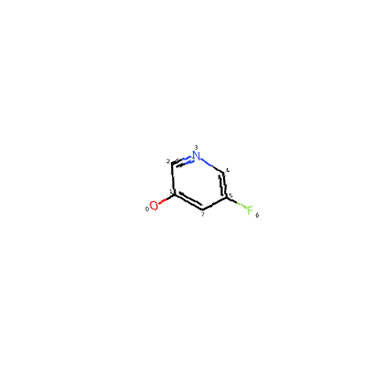 [O]c1cncc(F)c1